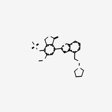 COc1cc(-c2cc3c(CNN4CCCC4)cccc3[nH]2)c2c(c1OS(C)(=O)=O)CNC2=O.Cl